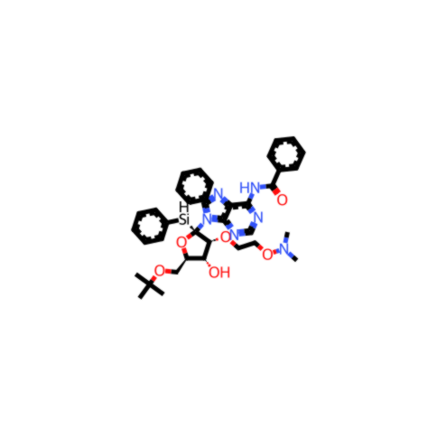 CN(C)OCCO[C@@H]1[C@H](O)[C@@H](COC(C)(C)C)O[C@]1(n1cnc2c(NC(=O)c3ccccc3)ncnc21)[SiH](c1ccccc1)c1ccccc1